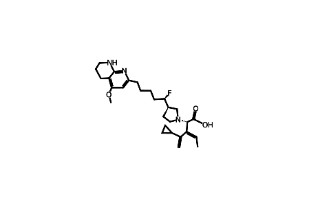 C=C(/C(=C\C)[C@@H](C(=O)O)N1CC[C@@H]([C@H](F)CCCCc2cc(OC)c3c(n2)NCCC3)C1)C1CC1